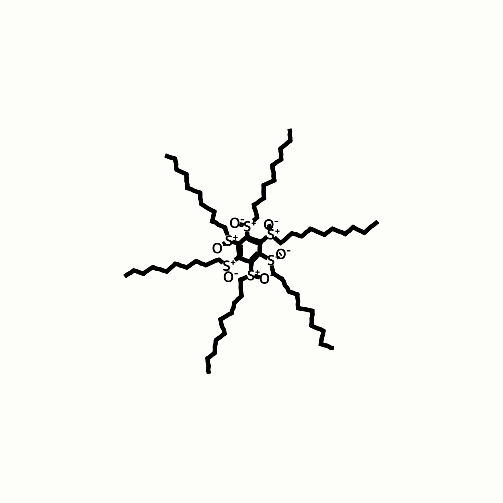 CCCCCCCCCC[S+]([O-])c1c([S+]([O-])CCCCCCCCCC)c([S+]([O-])CCCCCCCCCC)c([S+]([O-])CCCCCCCCCC)c([S+]([O-])CCCCCCCCCC)c1[S+]([O-])CCCCCCCCCC